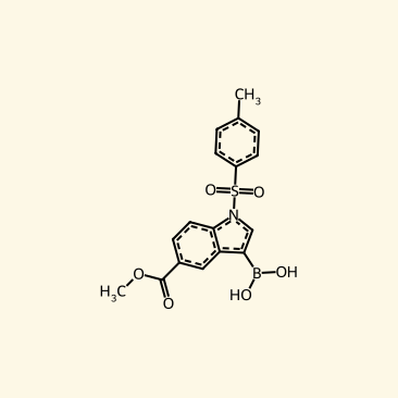 COC(=O)c1ccc2c(c1)c(B(O)O)cn2S(=O)(=O)c1ccc(C)cc1